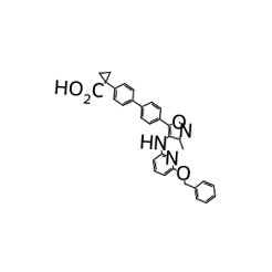 Cc1noc(-c2ccc(-c3ccc(C4(C(=O)O)CC4)cc3)cc2)c1Nc1cccc(OCc2ccccc2)n1